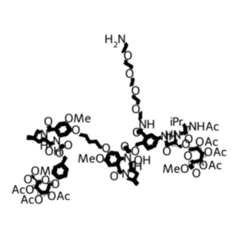 C=C1C[C@H]2[C@H](O)N(C(=O)OCc3ccc(O[C@@H]4O[C@H](C(=O)OC)[C@@H](OC(C)=O)[C@H](OC(C)=O)[C@H]4OC(C)=O)cc3)c3cc(OCCCCCOc4cc5c(cc4OC)C(=O)N4CC(=C)C[C@H]4[C@H](O)N5C(=O)OCc4ccc(NC(=O)[C@H](CO[C@@H]5O[C@H](C(=O)OC)[C@@H](OC(C)=O)[C@H](OC(C)=O)[C@H]5OC(C)=O)NC(=O)[C@@H](NC(C)=O)C(C)C)cc4C(=O)NCCOCCOCCOCCOCCN)c(OC)cc3C(=O)N2C1